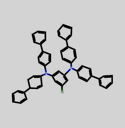 Clc1cc(N(C2=CCC(c3ccccc3)C=C2)c2ccc(-c3ccccc3)cc2)cc(N(c2ccc(-c3ccccc3)cc2)c2ccc(-c3ccccc3)cc2)c1